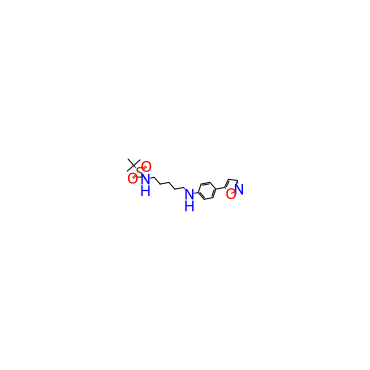 CC(C)(C)S(=O)(=O)NCCCCCNc1ccc(-c2ccno2)cc1